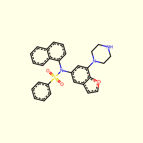 O=S(=O)(c1ccccc1)N(c1cc(N2CCNCC2)c2occc2c1)c1cccc2ccccc12